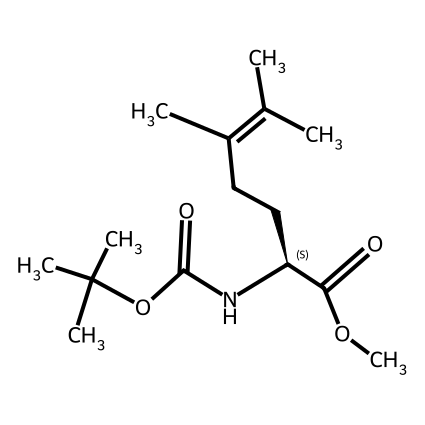 COC(=O)[C@H](CCC(C)=C(C)C)NC(=O)OC(C)(C)C